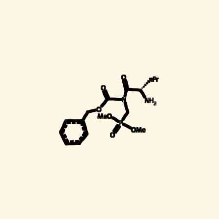 CCC[C@H](N)C(=O)N(CP(=O)(OC)OC)C(=O)OCc1ccccc1